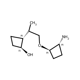 CC(CO[C@@H]1CC[C@H]1N)[C@H]1CC[C@@H]1O